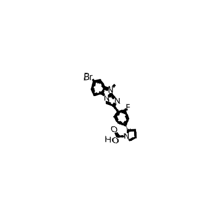 Cn1c2cc(Br)ccc2n2cc(-c3ccc([C@@H]4CCCN4C(=O)O)cc3F)nc12